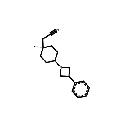 C[C@]1(CC#N)CC[C@@H](N2CC(c3ccccc3)C2)CC1